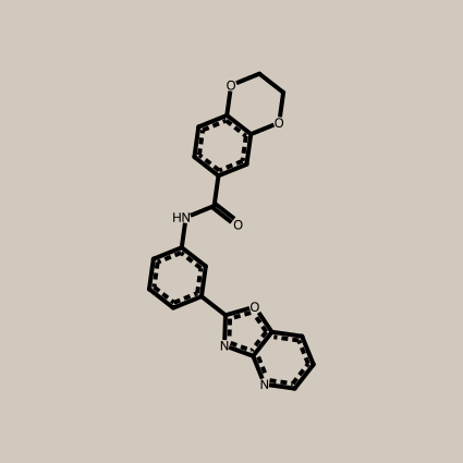 O=C(Nc1cccc(-c2nc3ncccc3o2)c1)c1ccc2c(c1)OCCO2